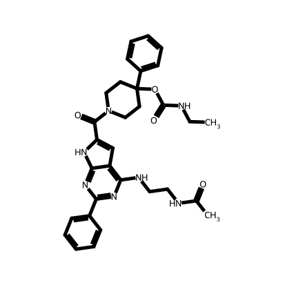 CCNC(=O)OC1(c2ccccc2)CCN(C(=O)c2cc3c(NCCNC(C)=O)nc(-c4ccccc4)nc3[nH]2)CC1